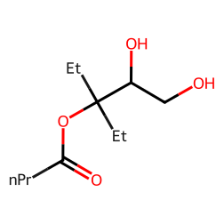 CCCC(=O)OC(CC)(CC)C(O)CO